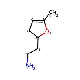 CC1=CCC(CCN)O1